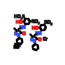 Cc1nn(-c2ccccc2)c(=O)[c-]1N=Nc1cc([N+](=O)[O-])cc(S(=O)(=O)O)c1O.Cc1nn(-c2ccccc2)c(=O)[c-]1N=Nc1ccc([N+](=O)[O-])cc1O.[Cr].[Na+].[Na+]